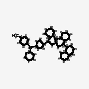 Cc1ccc(N(c2ccccc2)c2ccc(-c3cc4cc(-c5cccc6ccccc56)c5ccccc5c4c4ccccc34)cc2)cc1